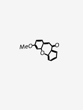 COC1=CC2Oc3ccccc3C(=O)C=C2C=C1